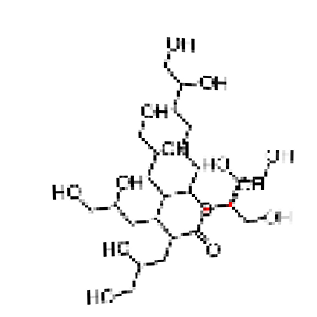 O=C(OCC(O)CO)C(CC(O)CO)C(CC(O)CO)C(CC(O)CO)C(CCCCC(O)CO)CC(O)CO